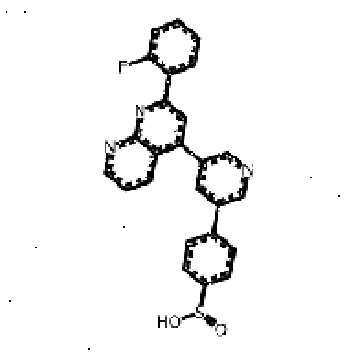 O=S(O)c1ccc(-c2cncc(-c3cc(-c4ccccc4F)nc4ncccc34)c2)cc1